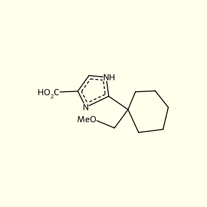 COCC1(c2nc(C(=O)O)c[nH]2)CCCCC1